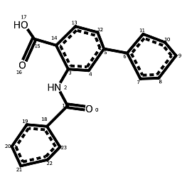 O=C(Nc1cc(-c2ccccc2)ccc1C(=O)O)c1ccccc1